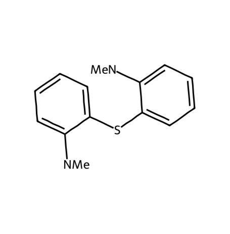 CNc1ccccc1Sc1ccccc1NC